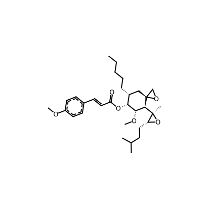 CCCCC[C@@H]1C[C@]2(CO2)[C@@H]([C@@]2(C)O[C@@H]2CCC(C)C)[C@H](OC)[C@@H]1OC(=O)C=Cc1ccc(OC)cc1